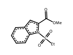 CCS(=O)(=O)n1c(C(=O)OC)cc2ccccc21